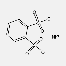 O=S(=O)([O-])c1ccccc1S(=O)(=O)[O-].[Ni+2]